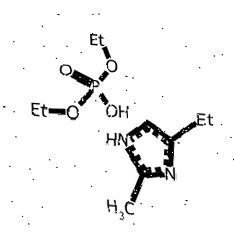 CCOP(=O)(O)OCC.CCc1c[nH]c(C)n1